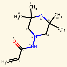 C=CC(=O)NN1CC(C)(C)NC(C)(C)C1